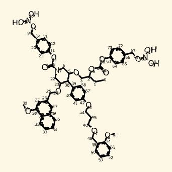 CCC(COC1CN(C(=O)Oc2ccc(CON(O)O)cc2)CC(OCc2cc(OC)c3ccccc3c2)C1c1ccc(OCCCOCc2ccccc2OC)cc1)OC(=O)Oc1ccc(CON(O)O)cc1